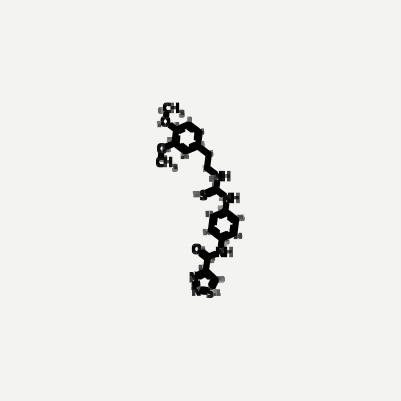 COc1ccc(CCNC(=S)Nc2ccc(NC(=O)c3csnn3)cc2)cc1OC